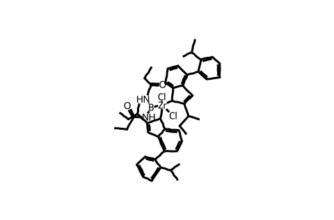 CCC(=O)N[B](NC(=O)CC)[Zr]([Cl])([Cl])([CH]1C(C(C)CC)=Cc2c(-c3ccccc3C(C)C)cccc21)[CH]1C(C(C)CC)=Cc2c(-c3ccccc3C(C)C)cccc21